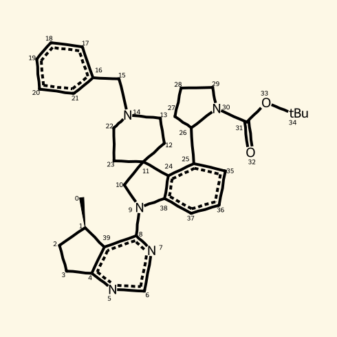 C[C@@H]1CCc2ncnc(N3CC4(CCN(Cc5ccccc5)CC4)c4c(C5CCCN5C(=O)OC(C)(C)C)cccc43)c21